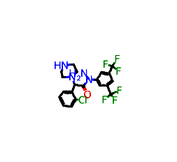 NN(C(=O)C(c1ccccc1Cl)N1CCNCC1)c1cc(C(F)(F)F)cc(C(F)(F)F)c1